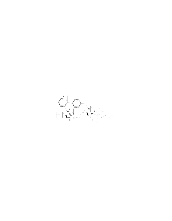 CCCCC(OC)(OC)c1nc(Cc2ccc(-c3ncccc3-c3nnn[nH]3)cc2)n(CCC)n1